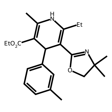 CCOC(=O)C1=C(C)NC(CC)=C(C2=NC(C)(C)CO2)C1c1cccc(C)c1